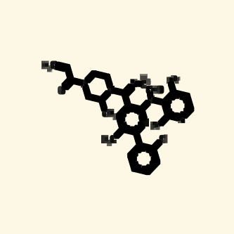 C=CC(=O)N1CCN(/C(=N/C)c2cc(C)c(-c3ccccc3Cl)nc2N(C=O)c2c(CCC)ccnc2C(C)C)C(C)C1